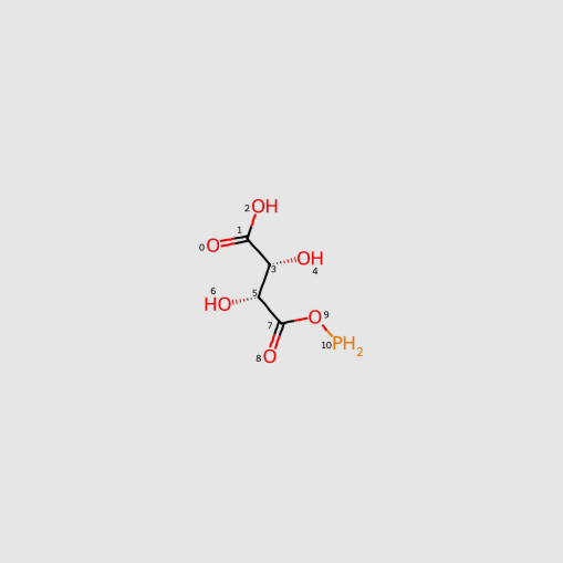 O=C(O)[C@H](O)[C@@H](O)C(=O)OP